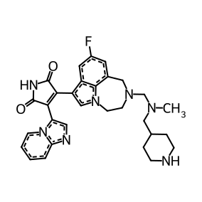 CN(CC1CCNCC1)CN1CCn2cc(C3=C(c4cnc5ccccn45)C(=O)NC3=O)c3cc(F)cc(c32)C1